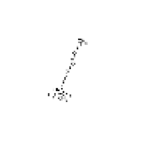 COCCOCCOCCOCCOCCC(=O)C(C)(C)C